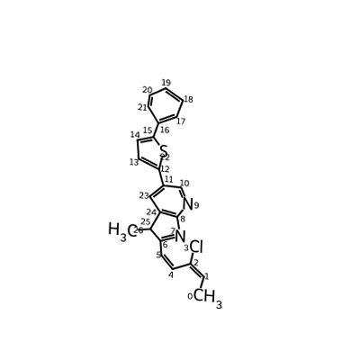 C/C=C(Cl)\C=C/C1=Nc2ncc(-c3ccc(-c4ccccc4)s3)cc2C1C